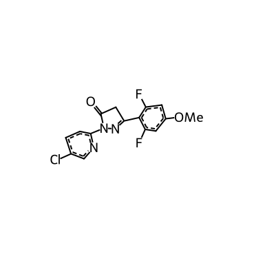 COc1cc(F)c(C2=NN(c3ccc(Cl)cn3)C(=O)C2)c(F)c1